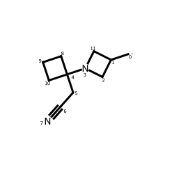 [CH2]C1CN(C2(CC#N)CCC2)C1